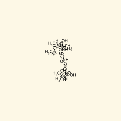 Cc1ncsc1-c1ccc(C(C)NC(=O)[C@@H]2C[C@@H](O)CN2C(=O)C(NC(=O)c2cc3cc(NC(=O)C4CCN(c5ccc(C6=N[C@@H](CC(=O)O)c7nnc(C)n7-c7sc(C)c(C)c76)cc5)C4)ccc3o2)C(C)(C)C)cc1